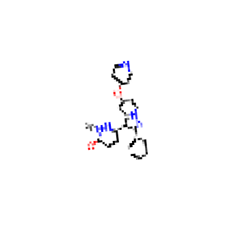 CC(C)n1nc(-c2c(-c3ccccc3)nn3ccc(Oc4ccncc4)cc23)ccc1=O